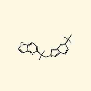 CC(C)(C)c1ccc2cn(CC(C)(C)c3ccc4occc4n3)cc2c1